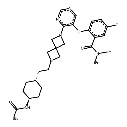 CC(C)N(C(=O)c1cc(F)ccc1Oc1cncnc1N1CC2(CN(CC[C@H]3CC[C@H](NC(=O)C(C)(C)C)CC3)C2)C1)C(C)C